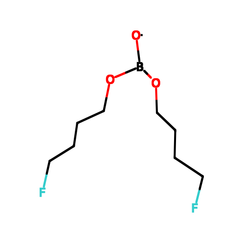 [O]B(OCCCCF)OCCCCF